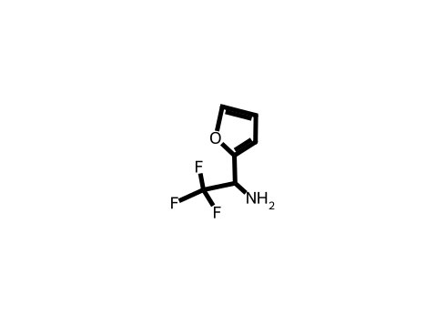 NC(c1ccco1)C(F)(F)F